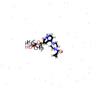 CC(C)(O)C(C)(C)OBc1cc2c(N3CCN(C(=O)C4CC4)CC3)ccnn2c1